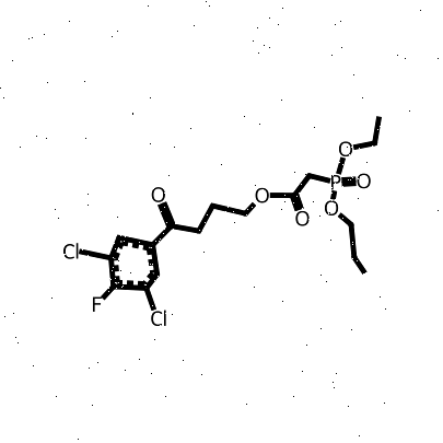 CCCOP(=O)(CC(=O)OCCCC(=O)c1cc(Cl)c(F)c(Cl)c1)OCC